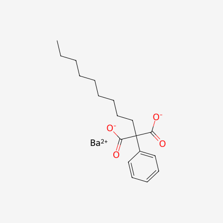 CCCCCCCCCC(C(=O)[O-])(C(=O)[O-])c1ccccc1.[Ba+2]